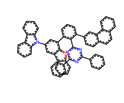 c1ccc(-c2nc(-c3ccccc3)nc(-c3c(-c4ccc5ccc6ccccc6c5c4)cccc3-c3cc(-n4c5ccccc5c5ccccc54)cc4c3oc3ccccc34)n2)cc1